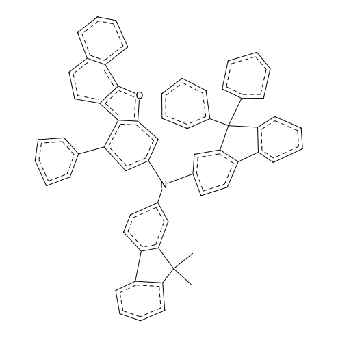 CC1(C)c2ccccc2-c2ccc(N(c3ccc4c(c3)C(c3ccccc3)(c3ccccc3)c3ccccc3-4)c3cc(-c4ccccc4)c4c(c3)oc3c5ccccc5ccc34)cc21